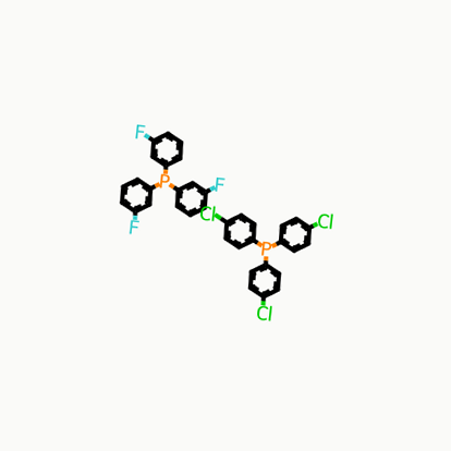 Clc1ccc(P(c2ccc(Cl)cc2)c2ccc(Cl)cc2)cc1.Fc1cccc(P(c2cccc(F)c2)c2cccc(F)c2)c1